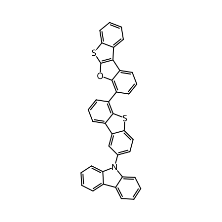 c1ccc2c(c1)sc1oc3c(-c4cccc5c4sc4ccc(-n6c7ccccc7c7ccccc76)cc45)cccc3c12